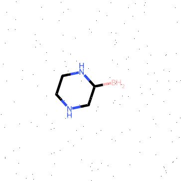 BC1CNCCN1